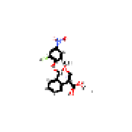 CO/C=C(/C(=O)OC)c1ccccc1COc1ccc([N+](=O)[O-])cc1F